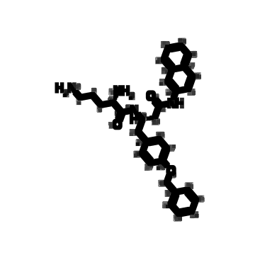 NCCC[C@H](N)C(=O)N[C@H](CC(=O)Nc1ccc2ccccc2c1)Cc1ccc(OCc2ccccc2)cc1